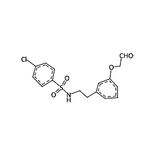 O=[C]COc1cccc(CCNS(=O)(=O)c2ccc(Cl)cc2)c1